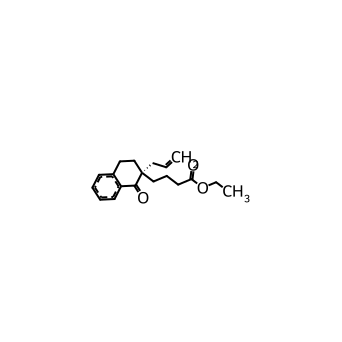 C=CC[C@@]1(CCCC(=O)OCC)CCc2ccccc2C1=O